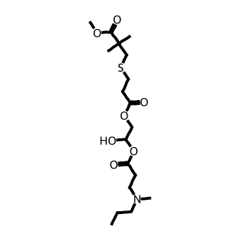 CCCN(C)CCC(=O)OC(O)COC(=O)CCSCC(C)(C)C(=O)OC